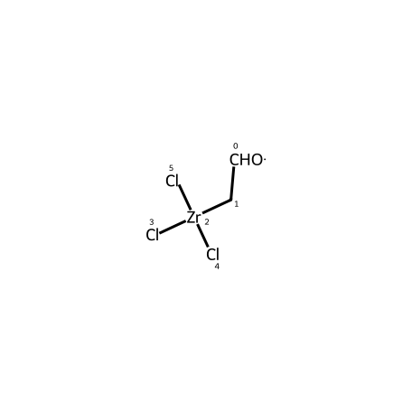 O=[C][CH2][Zr]([Cl])([Cl])[Cl]